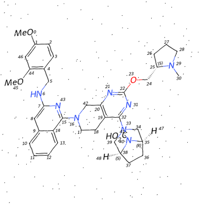 COc1ccc(CNc2cc3ccccc3c(N3CCc4c(nc(OC[C@@H]5CCCN5C)nc4N4C[C@H]5CC[C@@H](C4)N5C(=O)O)C3)n2)c(OC)c1